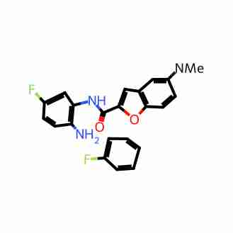 CNc1ccc2oc(C(=O)Nc3cc(F)ccc3N)cc2c1.Fc1ccccc1